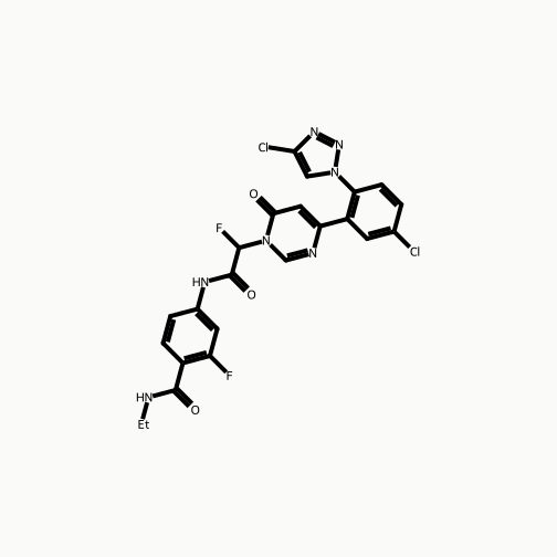 CCNC(=O)c1ccc(NC(=O)C(F)n2cnc(-c3cc(Cl)ccc3-n3cc(Cl)nn3)cc2=O)cc1F